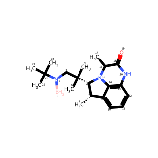 BN(CC(C)(C)[C@H]1[C@@H](C)c2cccc3c2N1C(C)C(=O)N3)C(C)(C)C